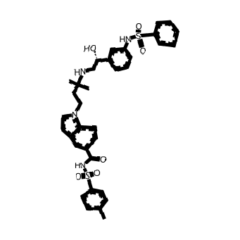 Cc1ccc(S(=O)(=O)NC(=O)c2ccc3c(ccn3CCC(C)(C)NC[C@H](O)c3cccc(NS(=O)(=O)c4ccccc4)c3)c2)cc1